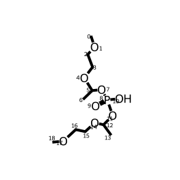 COCCOC(C)OP(=O)(O)OC(C)OCCOC